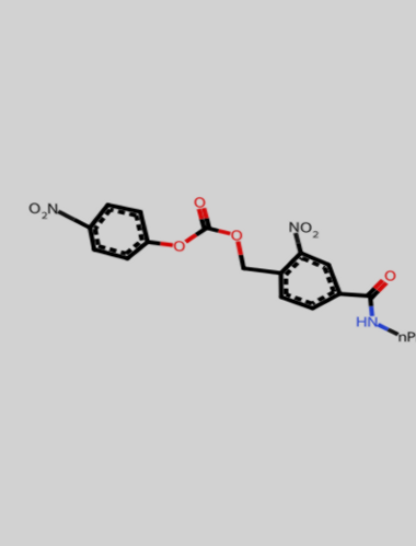 CCCNC(=O)c1ccc(COC(=O)Oc2ccc([N+](=O)[O-])cc2)c([N+](=O)[O-])c1